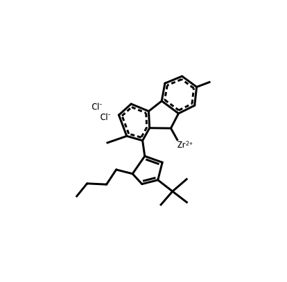 CCCCC1C=C(C(C)(C)C)C=C1c1c(C)ccc2c1[CH]([Zr+2])c1cc(C)ccc1-2.[Cl-].[Cl-]